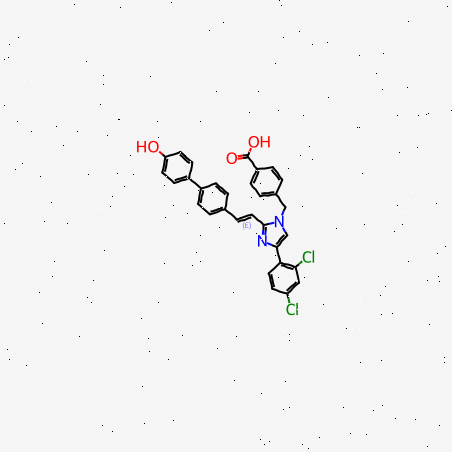 O=C(O)c1ccc(Cn2cc(-c3ccc(Cl)cc3Cl)nc2/C=C/c2ccc(-c3ccc(O)cc3)cc2)cc1